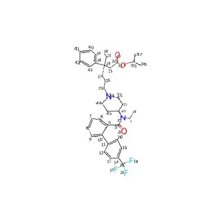 CCN(C(=O)c1ccccc1-c1ccc(C(F)(F)F)cc1)C1CCN(CCCC(CC)(CC(=O)OC(C)C)c2ccccc2)CC1